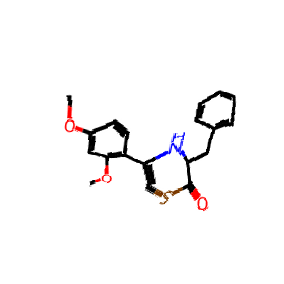 COc1ccc(C2=CSC(=O)C(Cc3ccccc3)N2)c(OC)c1